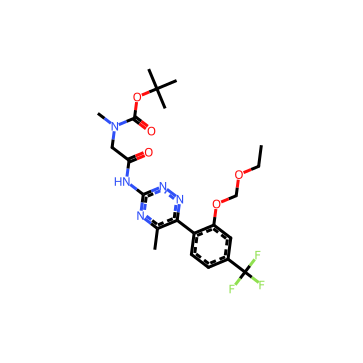 CCOCOc1cc(C(F)(F)F)ccc1-c1nnc(NC(=O)CN(C)C(=O)OC(C)(C)C)nc1C